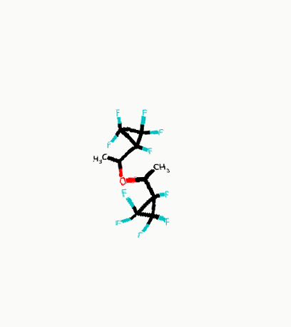 CC(OC(C)C1(F)C(F)(F)C1(F)F)C1(F)C(F)(F)C1(F)F